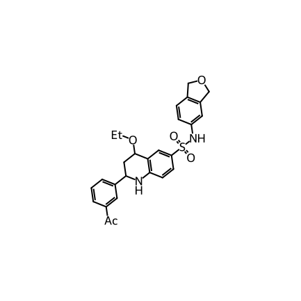 CCOC1CC(c2cccc(C(C)=O)c2)Nc2ccc(S(=O)(=O)Nc3ccc4c(c3)COC4)cc21